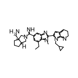 CCc1cc(C(=N)N2C[C@@H]3CCC[C@]3(CN)C2)cc2nc(-c3cc4c(n3CC3CC3)=NCCC=4)n(C)c12